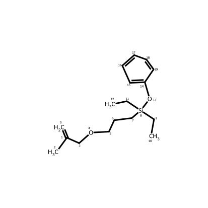 C=C(C)COCCC[Si](CC)(CC)Oc1ccccc1